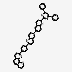 c1ccc(-c2cc(-c3ccccc3)nc(-c3ccc4cc(-c5ccc6nc(-c7ccc(-c8ccc9ccc%10cccnc%10c9n8)cc7)ccc6c5)ccc4n3)n2)cc1